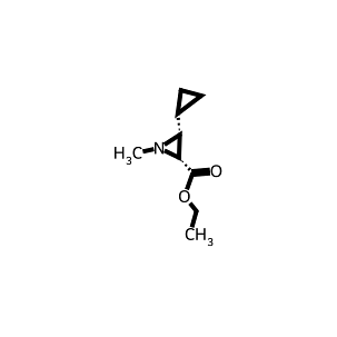 CCOC(=O)[C@H]1[C@@H](C2CC2)N1C